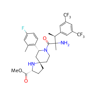 COC(=O)[C@H]1CC[C@@]2(CCN(C(=O)C(C)(N)[C@@H](C)c3cc(C(F)(F)F)cc(C(F)(F)F)c3)[C@@H](c3ccc(F)cc3C)C2)N1